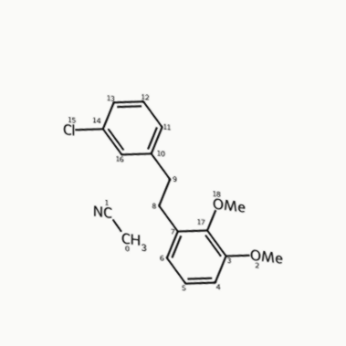 CC#N.COc1cccc(CCc2cccc(Cl)c2)c1OC